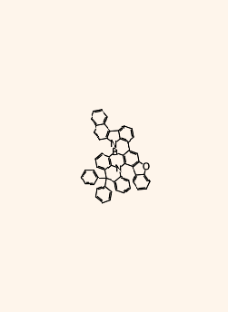 c1ccc(C2(c3ccccc3)c3ccccc3N3c4c(cccc42)B2c4c(cc5oc6ccccc6c5c43)-c3cccc4c5c6ccccc6ccc5n2c34)cc1